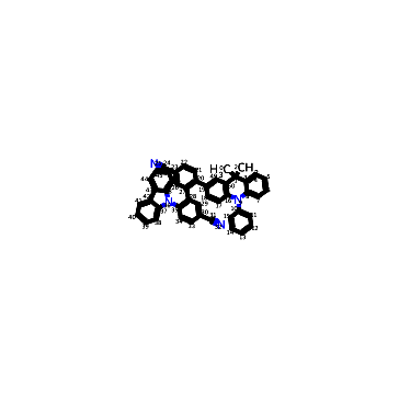 CC1(C)c2ccccc2N(c2ccccc2)c2ccc(-c3ccc(C#N)cc3-c3cc(C#N)ccc3-n3c4ccccc4c4ccccc43)cc21